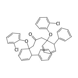 O=C(CC1(Oc2ccccc2Cl)C=CC=CC1c1ccccc1)CC1(Oc2ccccc2Cl)C=CC=CC1c1ccccc1